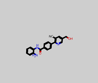 N#Cc1cc(CO)cnc1-c1ccc(C(=O)Nc2ccccc2N)cc1